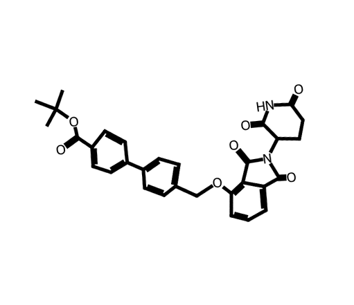 CC(C)(C)OC(=O)c1ccc(-c2ccc(COc3cccc4c3C(=O)N(C3CCC(=O)NC3=O)C4=O)cc2)cc1